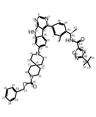 Cc1cc(-c2ncnc3[nH]c4cc(N5CCC6(CCN(C(=O)OCc7ccccc7)CC6)CC5)ccc4c23)ccc1[C@@H](C)NC(=O)c1nc(C(C)(C)C)no1